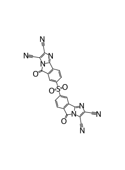 N#Cc1nc2n(c1C#N)C(=O)c1cc(S(=O)(=O)c3ccc4c(c3)-c3nc(C#N)c(C#N)n3C4=O)ccc1-2